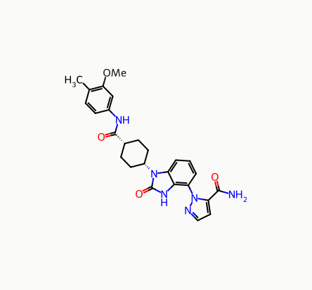 COc1cc(NC(=O)[C@H]2CC[C@@H](n3c(=O)[nH]c4c(-n5nccc5C(N)=O)cccc43)CC2)ccc1C